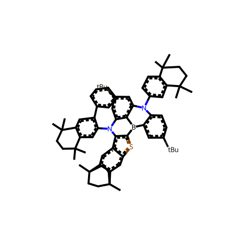 CC(C)(C)c1ccc2c(c1)B1c3sc4cc5c(cc4c3N(c3cc4c(cc3-c3ccccc3)C(C)(C)CCC4(C)C)c3cc(C(C)(C)C)cc(c31)N2c1ccc2c(c1)C(C)(C)CCC2(C)C)C1(C)CCC5(C)CC1